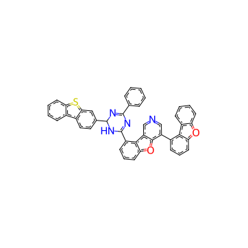 c1ccc(C2=NC(c3ccc4c(c3)sc3ccccc34)NC(c3cccc4oc5c(-c6cccc7oc8ccccc8c67)cncc5c34)=N2)cc1